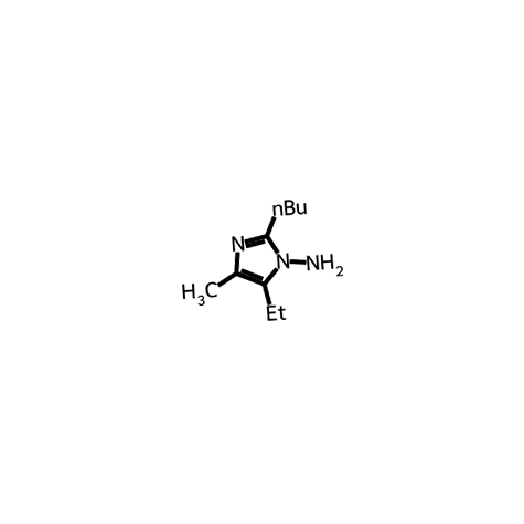 CCCCc1nc(C)c(CC)n1N